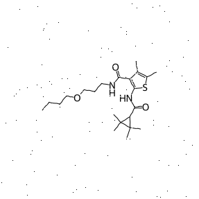 CCCCOCCCNC(=O)c1c(NC(=O)C2C(C)(C)C2(C)C)sc(C)c1C